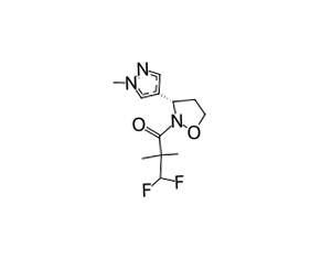 Cn1cc([C@@H]2CCON2C(=O)C(C)(C)C(F)F)cn1